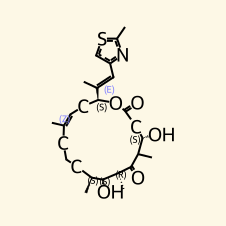 C/C1=C/C[C@@H](/C(C)=C/c2csc(C)n2)OC(=O)C[C@H](O)C(C)C(=O)[C@H](C)[C@@H](O)[C@@H](C)CCC1